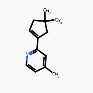 Cc1ccnc(C2=CCC(C)(C)C2)c1